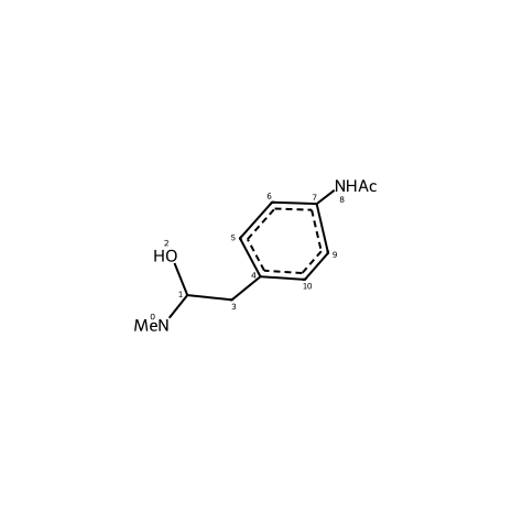 CNC(O)Cc1ccc(NC(C)=O)cc1